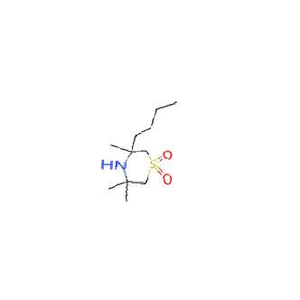 CCCCC1(C)CS(=O)(=O)CC(C)(C)N1